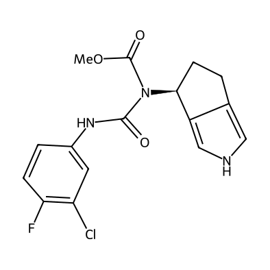 COC(=O)N(C(=O)Nc1ccc(F)c(Cl)c1)[C@H]1CCc2c[nH]cc21